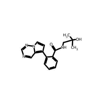 CC(C)(O)CNC(=O)c1ccccc1-c1ccn2ncncc12